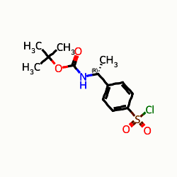 C[C@@H](NC(=O)OC(C)(C)C)c1ccc(S(=O)(=O)Cl)cc1